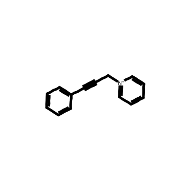 C(#Cc1ccccc1)C[n+]1ccccc1